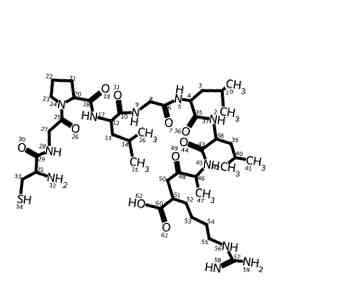 CC(C)CC(NC(=O)CNC(=O)C(CC(C)C)NC(=O)C1CCCN1C(=O)CNC(=O)C(N)CS)C(=O)NC(CC(C)C)C(=O)NC(C)C(=O)CC(CCCCNC(=N)N)C(=O)O